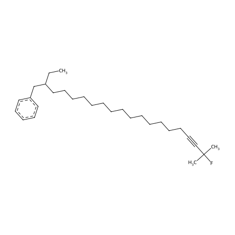 CCC(CCCCCCCCCCCCCCC#CC(C)(C)F)Cc1ccccc1